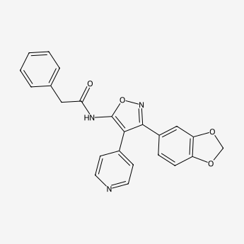 O=C(Cc1ccccc1)Nc1onc(-c2ccc3c(c2)OCO3)c1-c1ccncc1